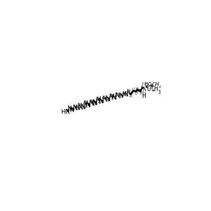 CC(C)(C)OC(=O)NCCCCCCN=NN=NN=NN=NN=NN=NN=NN=NN=NN=NN=N